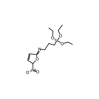 CCO[Si](CCCN=C1C=CC([N+](=O)[O-])O1)(OCC)OCC